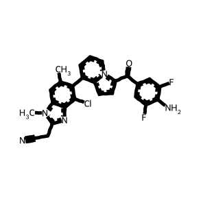 Cc1cc2c(nc(CC#N)n2C)c(Cl)c1-c1cccn2c(C(=O)c3cc(F)c(N)c(F)c3)ccc12